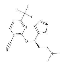 CN(C)CC[C@@H](Oc1nc(C(F)(F)F)ccc1C#N)c1ccno1